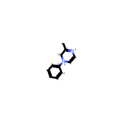 CC1=NC=CN(c2ccccc2)C1